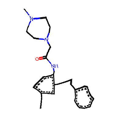 Cc1ccc(NC(=O)CN2CCN(C)CC2)c(Cc2ccccc2)c1